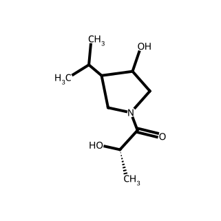 CC(C)C1CN(C(=O)[C@H](C)O)CC1O